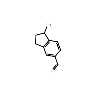 CC1CCc2cc(C=O)ccc21